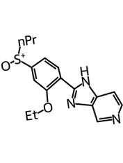 CCC[S+]([O-])c1ccc(-c2nc3cnccc3[nH]2)c(OCC)c1